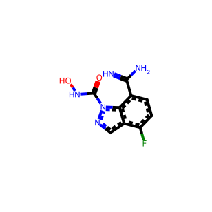 N=C(N)c1ccc(F)c2cnn(C(=O)NO)c12